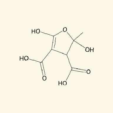 CC1(O)OC(O)=C(C(=O)O)C1C(=O)O